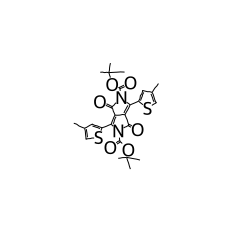 Cc1csc(C2=C3C(=O)N(C(=O)OC(C)(C)C)C(c4cc(C)cs4)=C3C(=O)N2C(=O)OC(C)(C)C)c1